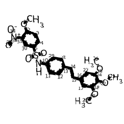 COc1ccc(S(=O)(=O)Nc2ccc(C=Cc3cc(OC)c(OC)c(OC)c3)cc2)cc1[N+](=O)[O-]